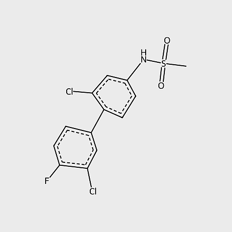 CS(=O)(=O)Nc1ccc(-c2ccc(F)c(Cl)c2)c(Cl)c1